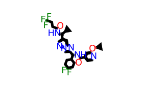 O=C(CCC(F)(F)F)N[C@@H](c1cnn2cc([C@@H](NC(=O)c3ccnc(OC4CC4)c3)C3CCC(F)(F)CC3)nc2c1)C1CC1